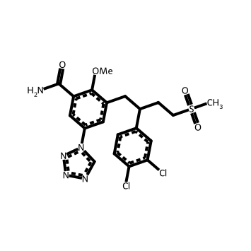 COc1c(CC(CCS(C)(=O)=O)c2ccc(Cl)c(Cl)c2)cc(-n2cnnn2)cc1C(N)=O